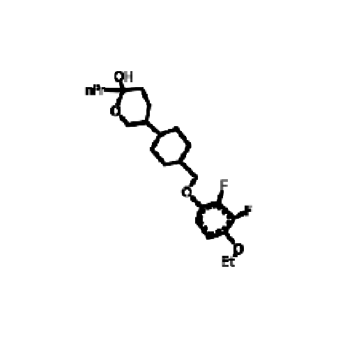 CCCC1(O)CCC(C2CCC(COc3ccc(OCC)c(F)c3F)CC2)CO1